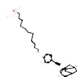 O=P(O)(O)CCCCCCCCCCCOc1ccc(C#C[C@]23CC4C[C@H](C[C@@H](C4)C2)C3)cc1F